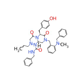 C=CCN1CC(=O)N2[C@@H](Cc3ccc(O)cc3)C(=O)N(Cc3ccccc3N(C)Cc3ccccc3)C[C@@H]2N1C(=O)NCc1ccccc1